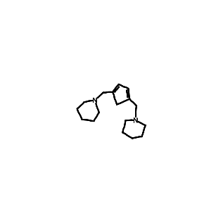 C1=C(CN2CCCCC2)CC(CN2CCCCC2)=C1